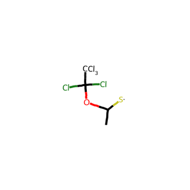 CC([S])OC(Cl)(Cl)C(Cl)(Cl)Cl